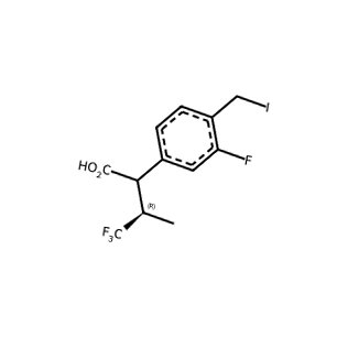 C[C@H](C(C(=O)O)c1ccc(CI)c(F)c1)C(F)(F)F